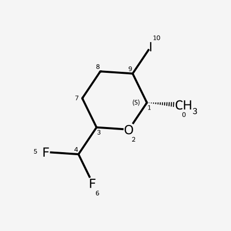 C[C@@H]1OC(C(F)F)CCC1I